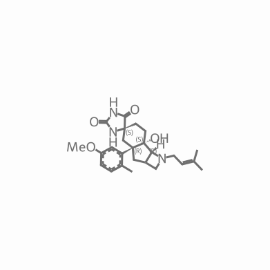 COc1ccc(C)c([C@]23CC4CN(CC=C(C)C)[C@H]4[C@]2(O)CC[C@@]2(C3)NC(=O)NC2=O)c1